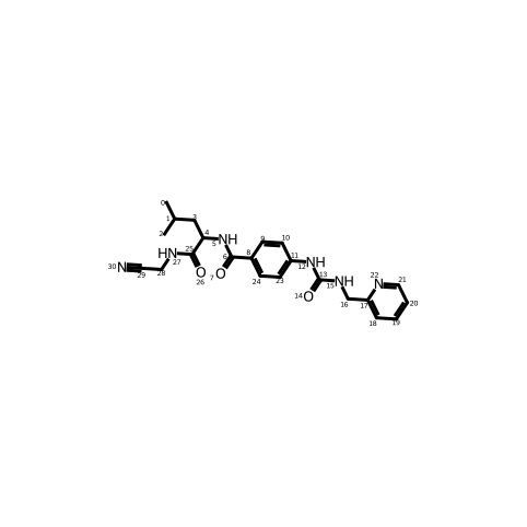 CC(C)CC(NC(=O)c1ccc(NC(=O)NCc2ccccn2)cc1)C(=O)NCC#N